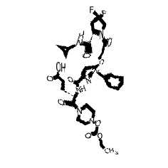 CCOC(=O)ON1CCN(C(=O)[C@H](CCC(=O)O)NC(=O)c2cc(OCC(=O)N3CC(F)(F)C[C@H]3C(=O)NC3CC3)n(-c3ccccc3)n2)CC1